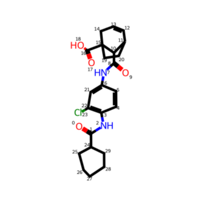 O=C(Nc1ccc(NC(=O)C2C3C=CCC2(C(=O)O)CC3)cc1Cl)C1CCCCC1